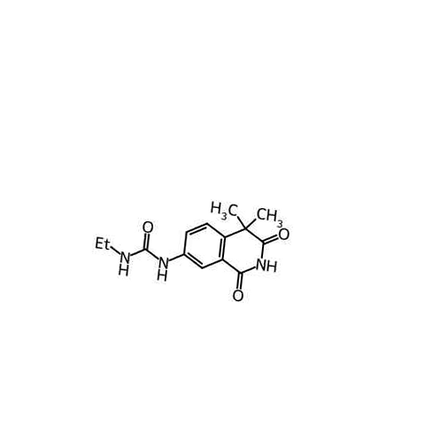 CCNC(=O)Nc1ccc2c(c1)C(=O)NC(=O)C2(C)C